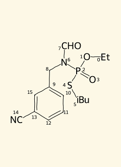 CCOP(=O)(SC(C)CC)N(C=O)Cc1cccc(C#N)c1